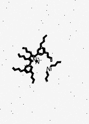 CCCCC1=C(c2cc(CCCC)cc(CCCC)c2)[N+](=[N-])C(c2cc(CCCC)cc(CCCC)c2)=C1CCCC.CCC[CH2][Ni][CH2]CCC